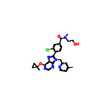 Cc1ccnc(Cn2c(-c3ccc(C(=O)N(C)CCO)cc3Cl)nc3c(OC4(C)CC4)ncnc32)c1